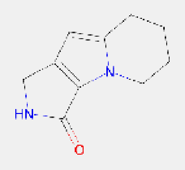 O=C1NCc2cc3n(c21)CCCC3